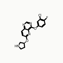 Fc1ccc(Oc2ncnc3ccc(O[C@H]4CCNC4)nc23)cc1Cl